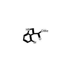 COC(=O)c1c[nH]c2cccc(Br)c12